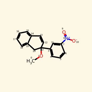 COC1(c2cccc([N+](=O)[O-])c2)C=Cc2ccccc2C1